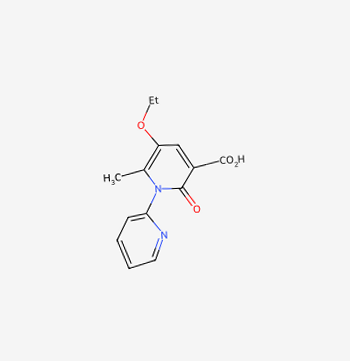 CCOc1cc(C(=O)O)c(=O)n(-c2ccccn2)c1C